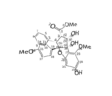 COC(=O)[C@H]1[C@@H](c2ccccc2)[C@@]2(c3ccc(OC)cc3)Oc3cc(O)cc(OC)c3[C@]2(O)[C@H]1O